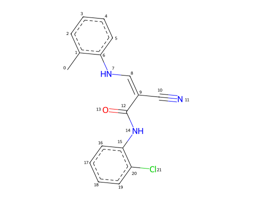 Cc1ccccc1N/C=C(/C#N)C(=O)Nc1ccccc1Cl